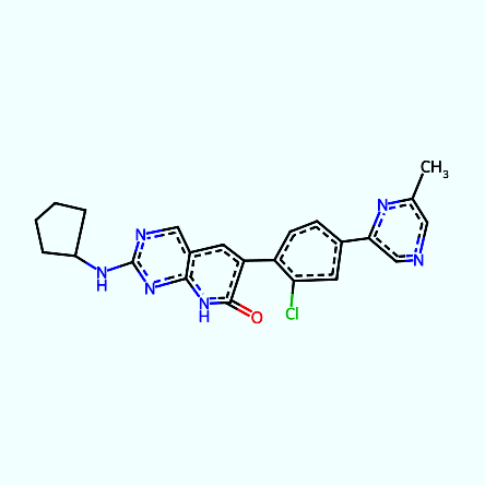 Cc1cncc(-c2ccc(-c3cc4cnc(NC5CCCC5)nc4[nH]c3=O)c(Cl)c2)n1